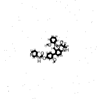 COc1cc(OC(=O)Nc2cccnc2)ccc1-c1ccc2c3c1CN(c1ccccc1OC)N3C(=O)C(C)(C)N2